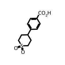 O=C(O)c1ccc(C2CCS(=O)(=O)CC2)cc1